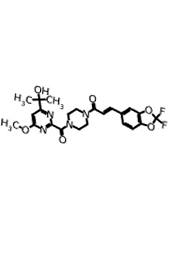 COc1cc(C(C)(C)O)nc(C(=O)N2CCN(C(=O)/C=C/c3ccc4c(c3)OC(F)(F)O4)CC2)n1